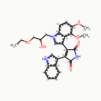 CCOCC(O)Cn1cc(C2=C(c3c[nH]c4ccccc34)C(=O)NC2=O)c2c(OC)c(OC)ccc21